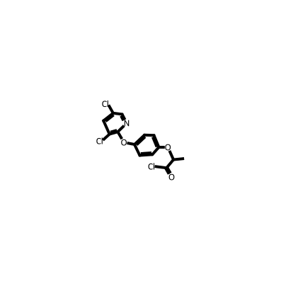 CC(Oc1ccc(Oc2ncc(Cl)cc2Cl)cc1)C(=O)Cl